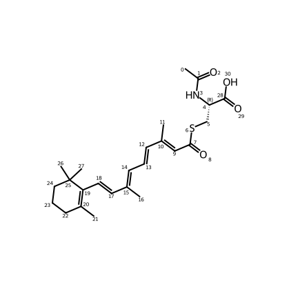 CC(=O)N[C@@H](CSC(=O)C=C(C)C=CC=C(C)C=CC1=C(C)CCCC1(C)C)C(=O)O